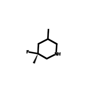 CC1CNC[C@@](C)(F)C1